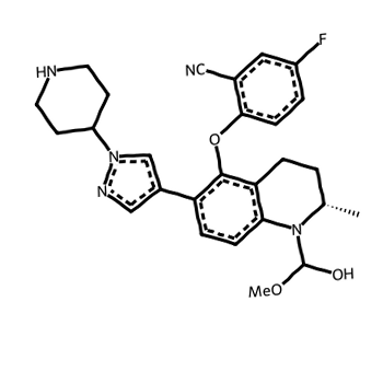 COC(O)N1c2ccc(-c3cnn(C4CCNCC4)c3)c(Oc3ccc(F)cc3C#N)c2CC[C@@H]1C